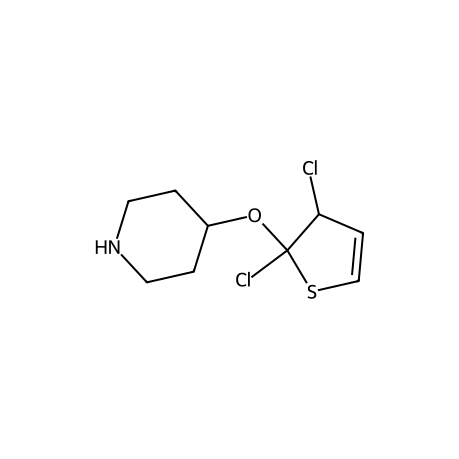 ClC1C=CSC1(Cl)OC1CCNCC1